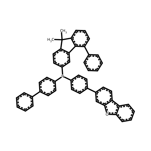 CC1(C)c2ccc(N(c3ccc(-c4ccccc4)cc3)c3ccc(-c4ccc5c(c4)oc4ccccc45)cc3)cc2-c2c(-c3ccccc3)cccc21